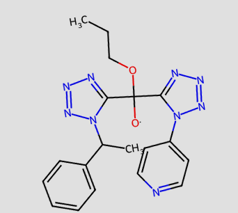 CCCOC([O])(c1nnnn1-c1ccncc1)c1nnnn1C(C)c1ccccc1